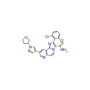 NC(=O)c1c(-c2c(Cl)cccc2Cl)nc2c3cc(-c4cnn(C5CCOC5)c4)cnc3ccn12